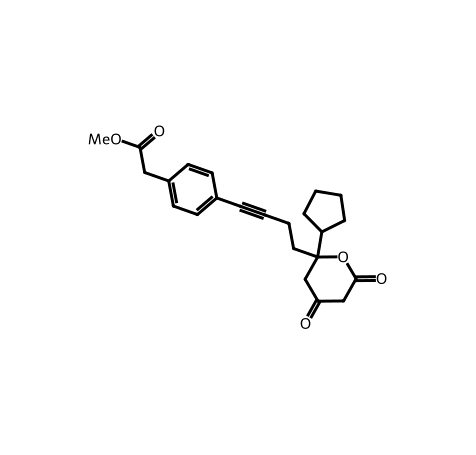 COC(=O)Cc1ccc(C#CCCC2(C3CCCC3)CC(=O)CC(=O)O2)cc1